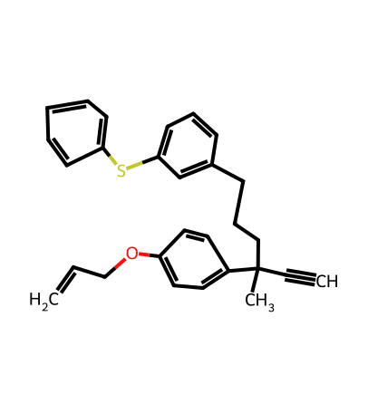 C#CC(C)(CCCc1cccc(Sc2ccccc2)c1)c1ccc(OCC=C)cc1